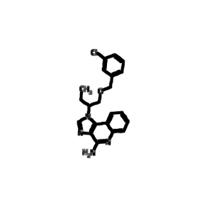 CCC(COCc1cccc(Cl)c1)n1cnc2c(N)nc3ccccc3c21